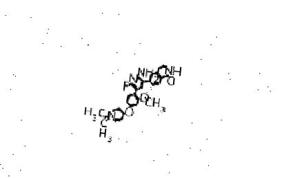 COc1cc(OC2CCN(C(C)C)CC2)ccc1-c1cc(-c2ccc3c(c2)CCNC3=O)c(N)nc1F